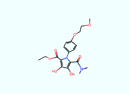 CCOC(=O)c1c(O)c(O)c(C(=O)N(C)C)n1-c1ccc(OCCOC)cc1